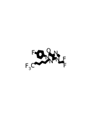 O=c1c2ncn(CC(F)F)c2nc(CCCCC(F)(F)F)n1-c1ccc(F)cc1